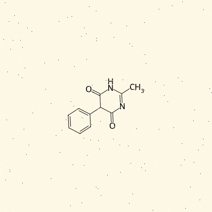 CC1=NC(=O)C(c2ccccc2)C(=O)N1